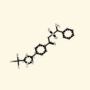 CC(c1ccccc1)S(=O)(=O)CC(=O)c1ccc(-c2noc(C(F)(F)F)n2)cc1